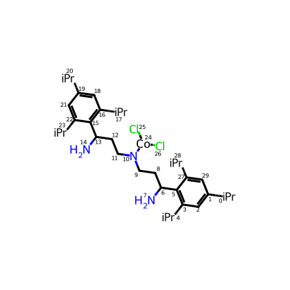 CC(C)c1cc(C(C)C)c(C(N)CC[N](CCC(N)c2c(C(C)C)cc(C(C)C)cc2C(C)C)[Co]([Cl])[Cl])c(C(C)C)c1